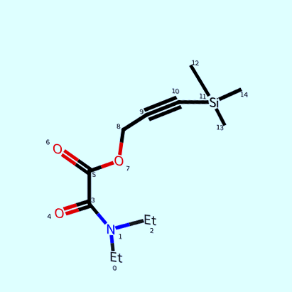 CCN(CC)C(=O)C(=O)OCC#C[Si](C)(C)C